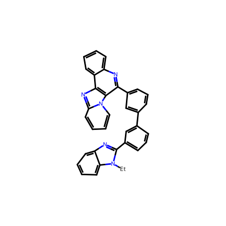 CCn1c(-c2cccc(-c3cccc(-c4nc5ccccc5c5nc6ccccn6c45)c3)c2)nc2ccccc21